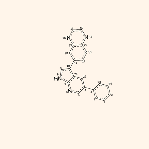 c1ccc(-c2cnc3[nH]cc(-c4ccc5nccnc5c4)c3c2)cc1